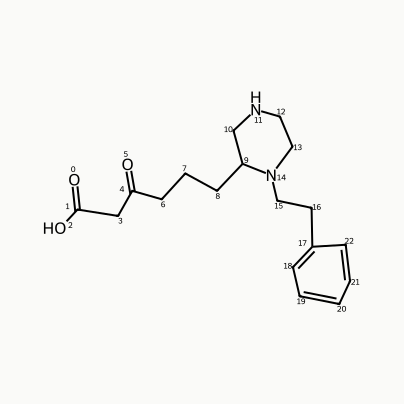 O=C(O)CC(=O)CCCC1CNCCN1CCc1ccccc1